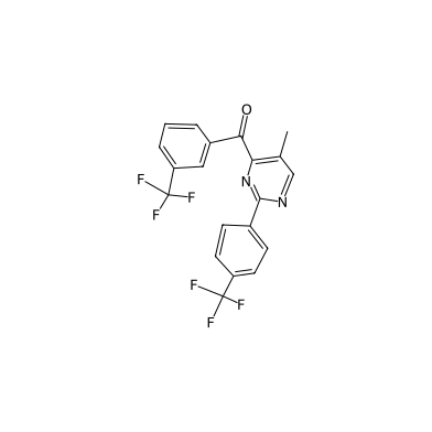 Cc1cnc(-c2ccc(C(F)(F)F)cc2)nc1C(=O)c1cccc(C(F)(F)F)c1